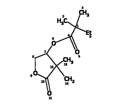 CCC(C)(C)C(=O)OC1COC(=O)C1(C)C